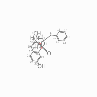 CN1CC[C@]23C(=O)CN(Cc4ccccc4)C[C@H]2[C@H]1Cc1ccc(O)cc13